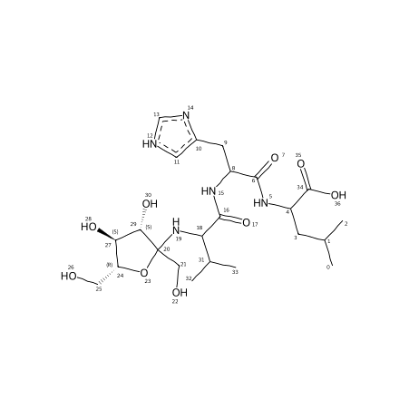 CC(C)CC(NC(=O)C(Cc1c[nH]cn1)NC(=O)C(NC1(CO)O[C@H](CO)[C@@H](O)[C@@H]1O)C(C)C)C(=O)O